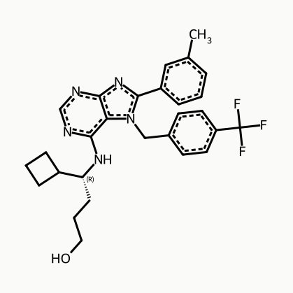 Cc1cccc(-c2nc3ncnc(N[C@H](CCCO)C4CCC4)c3n2Cc2ccc(C(F)(F)F)cc2)c1